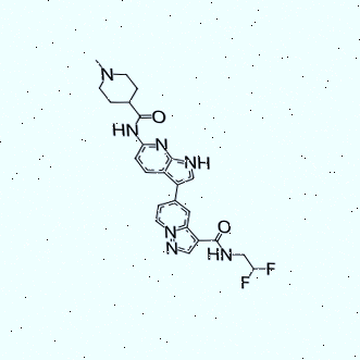 CN1CCC(C(=O)Nc2ccc3c(-c4ccn5ncc(C(=O)NCC(F)F)c5c4)c[nH]c3n2)CC1